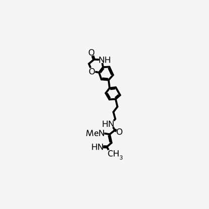 CN/C(=C\C(C)=N)C(=O)NCCCc1ccc(-c2ccc3c(c2)OCC(=O)N3)cc1